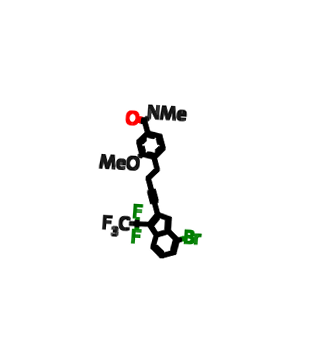 CNC(=O)c1ccc(CCC#CC2=C(C(F)(F)C(F)(F)F)C3C=CC=C(Br)C3=C2)c(OC)c1